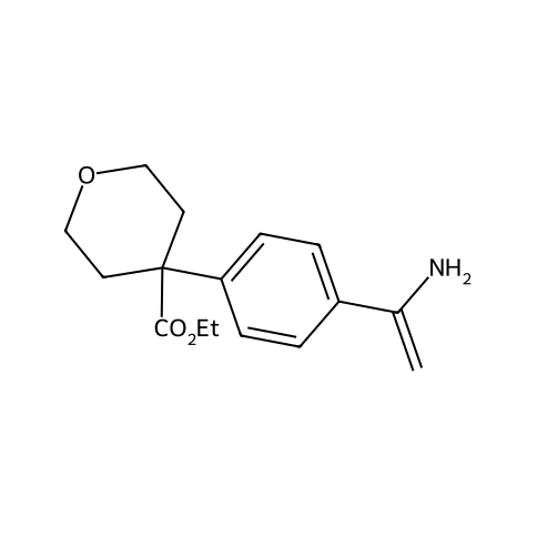 C=C(N)c1ccc(C2(C(=O)OCC)CCOCC2)cc1